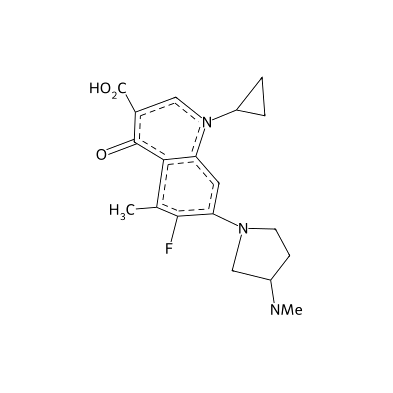 CNC1CCN(c2cc3c(c(C)c2F)c(=O)c(C(=O)O)cn3C2CC2)C1